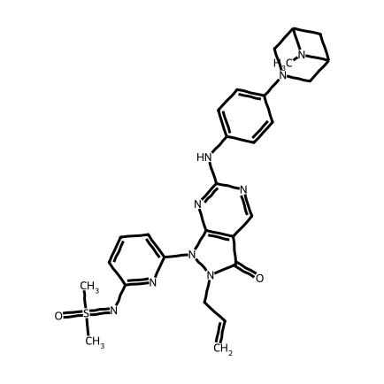 C=CCn1c(=O)c2cnc(Nc3ccc(N4CC5CC(C4)N5C)cc3)nc2n1-c1cccc(N=S(C)(C)=O)n1